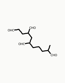 CC(C=O)CCCC(C=O)CC(C=O)CCC=O